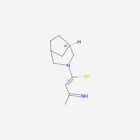 CC(=N)/C=C(\S)N1CC2CC[C@H](C2)C1